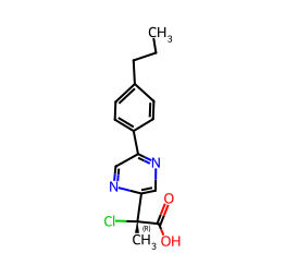 CCCc1ccc(-c2cnc([C@@](C)(Cl)C(=O)O)cn2)cc1